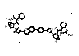 COC(=O)N[C@H](C(=O)N1[C@@H]2C[C@@H]2C[C@H]1c1nc(-c2ccc(-c3ccc4nc(-c5c[nH]c([C@@H]6C[C@H]7C[C@H]7N6C(=O)[C@H](C6CCOCC6)N(C)C(=O)O)n5)ccc4c3)cc2)c[nH]1)C1CCOCC1